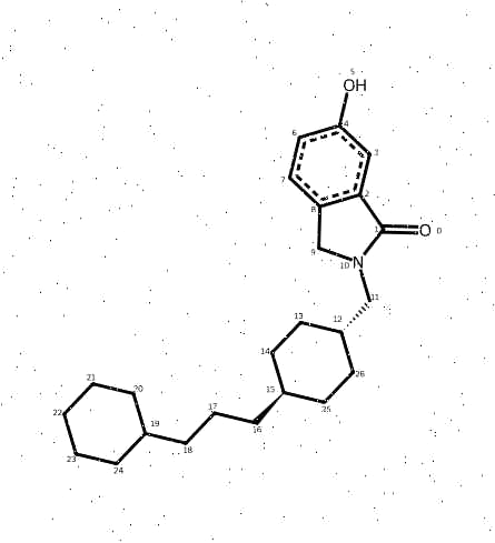 O=C1c2cc(O)ccc2CN1C[C@H]1CC[C@H](CCCC2CCCCC2)CC1